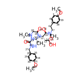 COc1ccc(CCN(C)C(=O)[C@H](CC(=O)O)N2C(=O)CN(C)N(C(=O)NCc3ccc(OC)cc3)[C@H]2C)cc1